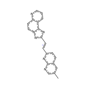 Cc1cnc2nc(/C=C/c3nc4c5cccnc5ccn4n3)ccc2c1